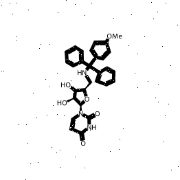 COc1ccc(C(NC[C@H]2O[C@@H](n3ccc(=O)[nH]c3=O)[C@@H](O)C2O)(c2ccccc2)c2ccccc2)cc1